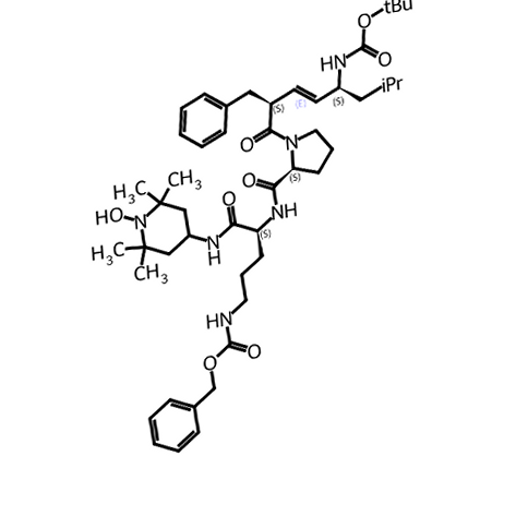 CC(C)C[C@@H](/C=C/[C@H](Cc1ccccc1)C(=O)N1CCC[C@H]1C(=O)N[C@@H](CCCNC(=O)OCc1ccccc1)C(=O)NC1CC(C)(C)N(O)C(C)(C)C1)NC(=O)OC(C)(C)C